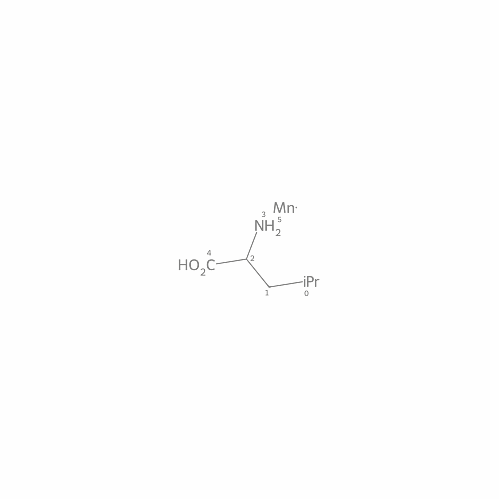 CC(C)CC(N)C(=O)O.[Mn]